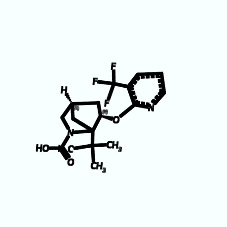 CC(C)(C)C12C[C@H](C[C@H]1Oc1ncccc1C(F)(F)F)CN2C(=O)O